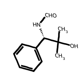 CC(C)(O)[C@@H](NC=O)c1ccccc1